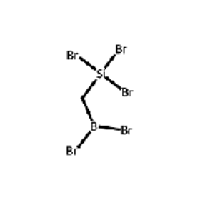 BrB(Br)C[Si](Br)(Br)Br